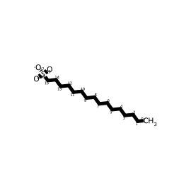 CCCCCCCCCCCCCCCCS([O])(=O)=O